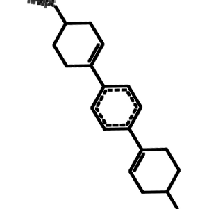 CCCCCCCC1CC=C(c2ccc(C3=CCC(C)CC3)cc2)CC1